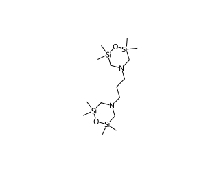 C[Si]1(C)CN(CCCN2C[Si](C)(C)O[Si](C)(C)C2)C[Si](C)(C)O1